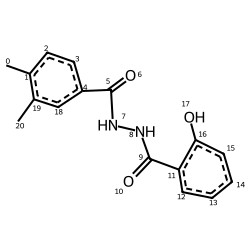 Cc1ccc(C(=O)NNC(=O)c2ccccc2O)cc1C